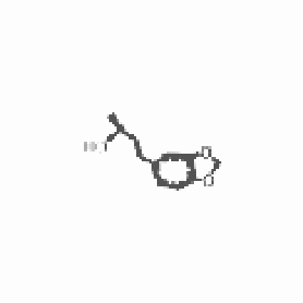 C=C(O)CCc1ccc2c(c1)OCO2